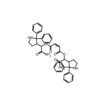 NC(=O)C(OC(=O)/C=C\C(=O)OC(C(N)=O)C1CCNC1(c1ccccc1)c1ccccc1)C1CCNC1(c1ccccc1)c1ccccc1